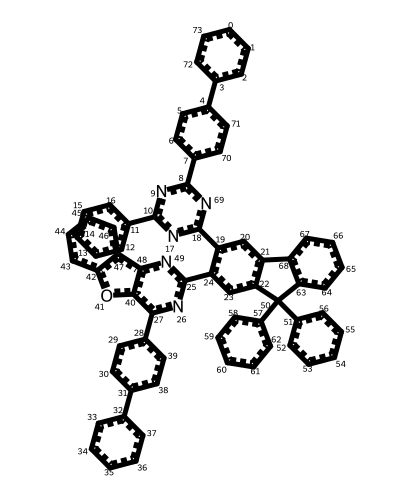 c1ccc(-c2ccc(-c3nc(-c4ccccc4)nc(-c4cc5c(cc4-c4nc(-c6ccc(-c7ccccc7)cc6)c6oc7ccccc7c6n4)C(c4ccccc4)(c4ccccc4)c4ccccc4-5)n3)cc2)cc1